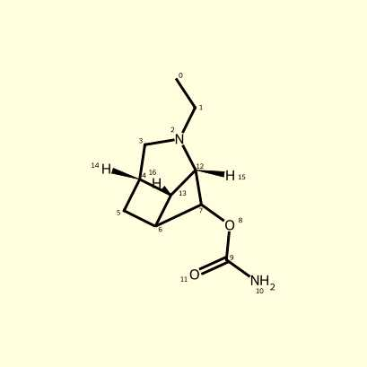 CCN1C[C@H]2CC3C(OC(N)=O)[C@@H]1[C@H]32